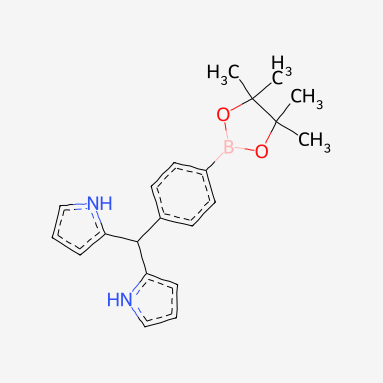 CC1(C)OB(c2ccc(C(c3ccc[nH]3)c3ccc[nH]3)cc2)OC1(C)C